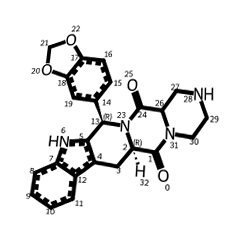 O=C1[C@H]2Cc3c([nH]c4ccccc34)[C@@H](c3ccc4c(c3)OCO4)N2C(=O)C2CNCCN12